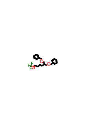 FC(F)(F)OCCCCC(COCc1ccccc1)COCc1ccccc1